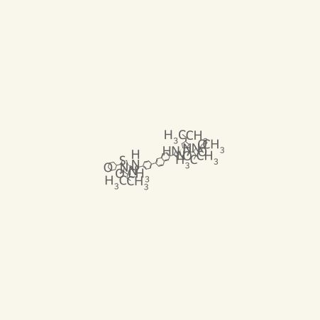 COC(=O)N[C@H](C(=O)N1CC(=C(C)C)C[C@H]1c1ncc(-c2ccc3cc(-c4ccc(-c5cnc([C@@H]6CSC(C7CCOCC7)N6C(=O)[C@@H](C)C(C)C)[nH]5)cc4)ccc3c2)[nH]1)C(C)C